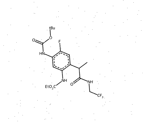 CCOC(=O)Nc1cc(NC(=O)OC(C)(C)C)c(F)cc1C(C)C(=O)NCC(F)(F)F